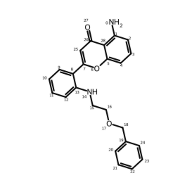 Nc1cccc2oc(-c3ccccc3NCCOCc3ccccc3)cc(=O)c12